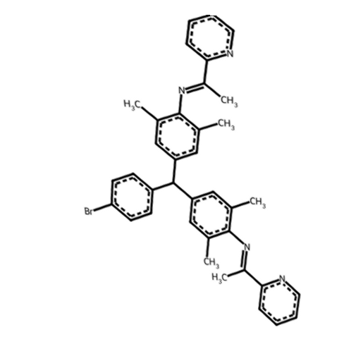 CC(=Nc1c(C)cc(C(c2ccc(Br)cc2)c2cc(C)c(N=C(C)c3ccccn3)c(C)c2)cc1C)c1ccccn1